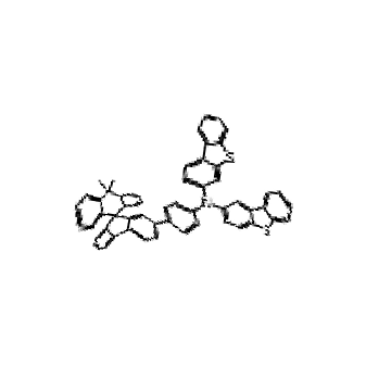 CC1(C)c2ccccc2C2(c3ccccc3-c3ccc(-c4ccc(N(c5ccc6c(c5)sc5ccccc56)c5ccc6sc7ccccc7c6c5)cc4)cc32)C2C=CC=CC21